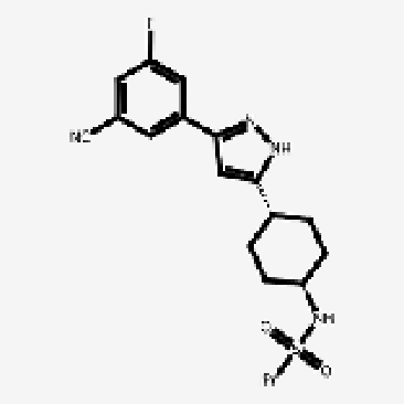 CC(C)S(=O)(=O)N[C@H]1CC[C@H](c2cc(-c3cc(F)cc(C#N)c3)n[nH]2)CC1